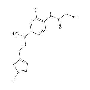 CN(CCc1ccc(Cl)s1)c1ccc(NC(=O)CC(C)(C)C)c(Cl)c1